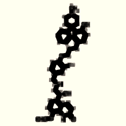 CN1CCC(c2ccccc2)(c2cc(CCCOc3ccc(CNC[C@H](O)c4ccc(OC=O)c5[nH]c(=O)ccc45)cc3F)ccc2O)CC1